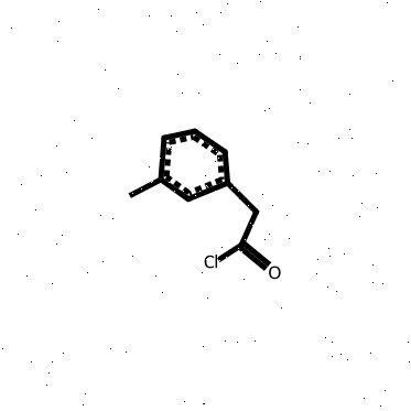 Cc1cccc(CC(=O)Cl)c1